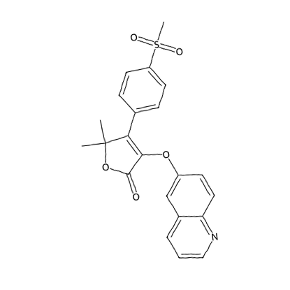 CC1(C)OC(=O)C(Oc2ccc3ncccc3c2)=C1c1ccc(S(C)(=O)=O)cc1